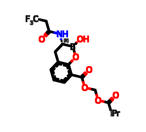 CC(C)C(=O)OCOC(=O)c1cccc2c1OB(O)[C@@H](NC(=O)CC(F)(F)F)C2